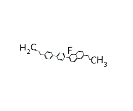 C=CCCc1ccc(-c2ccc(-c3ccc4cc(CCC)ccc4c3F)cc2)cc1